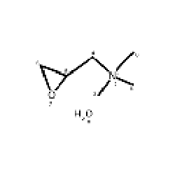 C[N+](C)(C)CC1CO1.O